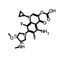 CN[C@H]1CN(c2c(F)c(N)c3c(=O)c(OC(=O)O)cn(C4CC4)c3c2F)C[C@H]1OC